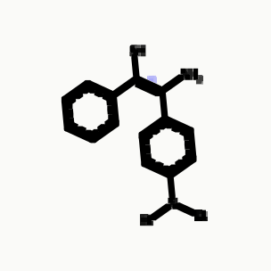 CCN(CC)c1ccc(/C(N)=C(/S)c2ccccc2)cc1